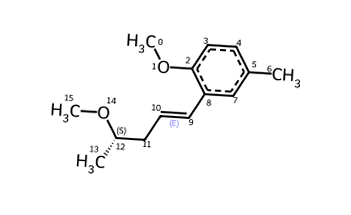 COc1ccc(C)cc1/C=C/C[C@H](C)OC